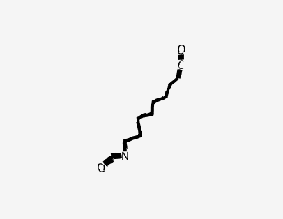 O=C=CCCCCCCCN=C=O